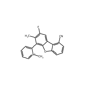 Cc1c(F)cc2c(oc3cccc(C#N)c32)c1-c1cccc[n+]1C